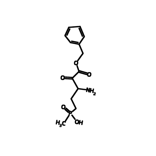 CP(=O)(O)CCC(N)C(=O)C(=O)OCc1ccccc1